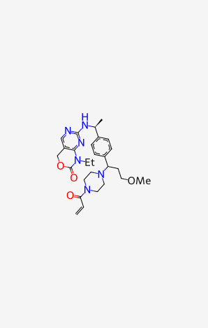 C=CC(=O)N1CCN(C(CCOC)c2ccc([C@H](C)Nc3ncc4c(n3)N(CC)C(=O)OC4)cc2)CC1